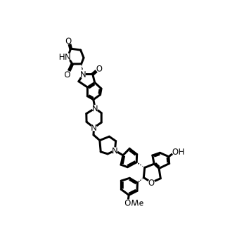 COc1cccc([C@H]2OCc3cc(O)ccc3[C@H]2c2ccc(N3CCC(CN4CCN(c5ccc6c(c5)CN([C@H]5CCC(=O)NC5=O)C6=O)CC4)CC3)cc2)c1